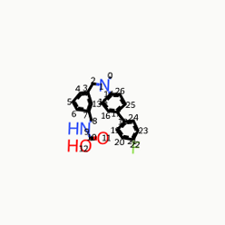 CN(Cc1cccc(CNC(=O)O)c1)c1ccc(-c2ccc(F)cc2)cc1